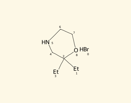 Br.CCC1(CC)CNCCO1